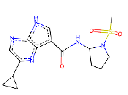 CS(=O)(=O)N1CCCC1NC(=O)c1c[nH]c2ncc(C3CC3)nc12